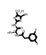 CCC[C@H](NC(=O)Cc1cc(F)cc(F)c1)C(=O)Nc1nc(C(=O)O)c(C(C)C)s1